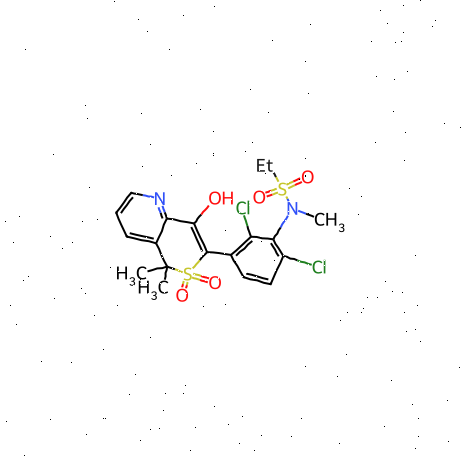 CCS(=O)(=O)N(C)c1c(Cl)ccc(C2=C(O)c3ncccc3C(C)(C)S2(=O)=O)c1Cl